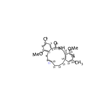 COc1cc(Cl)cc2c1C/C=C/CCCc1cc(C)nc(OC)c1CNC2=O